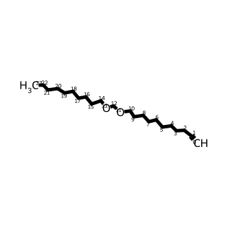 C#CCCCCCCCCCOCOCCCCCCCCCC